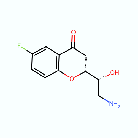 NC[C@@H](O)[C@H]1CC(=O)c2cc(F)ccc2O1